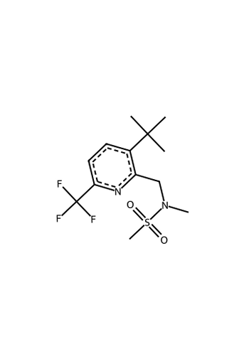 CN(Cc1nc(C(F)(F)F)ccc1C(C)(C)C)S(C)(=O)=O